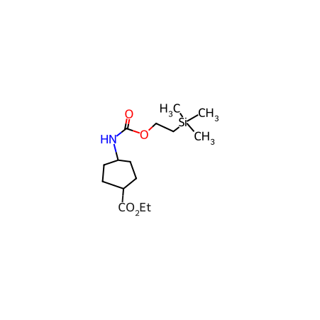 CCOC(=O)C1CCC(NC(=O)OCC[Si](C)(C)C)CC1